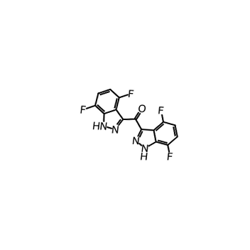 O=C(c1n[nH]c2c(F)ccc(F)c12)c1n[nH]c2c(F)ccc(F)c12